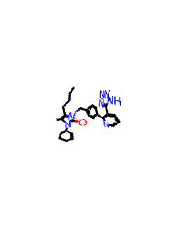 CCCCc1c(C)n(C2CCCCC2)c(=O)n1Cc1ccc(-c2ncccc2-c2nnn[nH]2)cc1